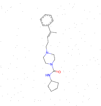 C/C(=C\CCN1CCN(C(=O)NC2CCCC2)CC1)c1ccccc1